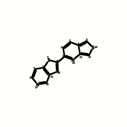 c1cc2sc(-c3ccc4cscc4n3)cc2cn1